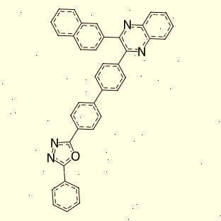 c1ccc(-c2nnc(-c3ccc(-c4ccc(-c5nc6ccccc6nc5-c5ccc6ccccc6c5)cc4)cc3)o2)cc1